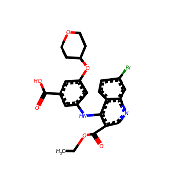 CCOC(=O)c1cnc2cc(Br)ccc2c1Nc1cc(OC2CCOCC2)cc(C(=O)O)c1